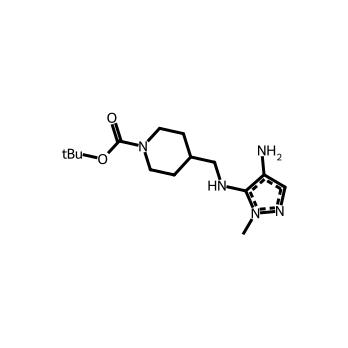 Cn1ncc(N)c1NCC1CCN(C(=O)OC(C)(C)C)CC1